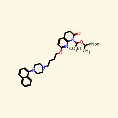 CCCCCCCCCC(C)OC(C(=O)OCC)N1C(=O)CCc2ccc(OCCCCN3CCN(c4cccc5ccccc45)CC3)nc21